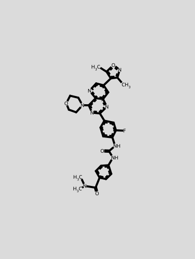 Cc1noc(C)c1-c1cnc2c(N3CCOCC3)nc(-c3ccc(NC(=O)Nc4ccc(C(=O)N(C)C)cc4)c(F)c3)nc2c1